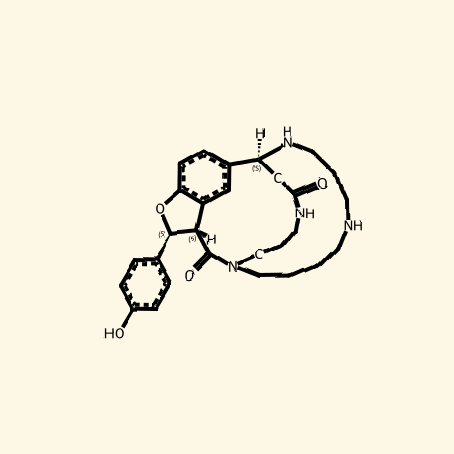 O=C1C[C@@H]2NCCCNCCCCN(CCCN1)C(=O)[C@H]1c3cc2ccc3O[C@@H]1c1ccc(O)cc1